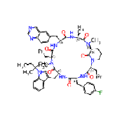 C=CC(C)(C)n1cc(C[C@@H]2NC(=O)[C@H](Cc3ccc(F)cc3)NC(=O)[C@H](CC(C)C)N3CCC[C@@H](C3=O)N(C)C(=O)[C@H](C)NC(=O)[C@H](Cc3ccc4ncncc4c3)NC(=O)[C@H](CC(C)C)N(C)C2=O)c2ccccc21